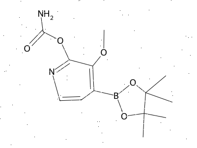 COc1c(B2OC(C)(C)C(C)(C)O2)ccnc1OC(N)=O